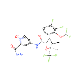 C[C@@H]1[C@@H](c2ccc(F)c(F)c2OC(F)F)[C@@H](C(=O)Nc2cc[n+]([O-])c(C(N)=O)c2)O[C@]1(C)C(F)(F)F